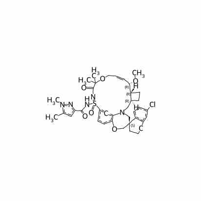 CO[C@H]1C=CCOC(C)(C)C(=O)N=S(=O)(NC(=O)c2cc(C)n(C)n2)c2ccc3c(c2)N(C[C@@H]2CC[C@H]21)C[C@@]1(CCCc2cc(Cl)ccc21)CO3